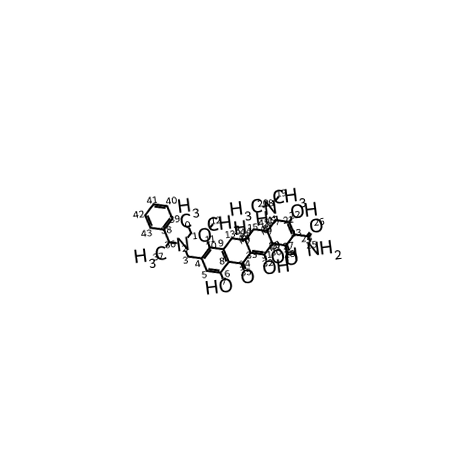 CCN(Cc1cc(O)c2c(c1OC)C[C@H]1C[C@H]3[C@H](N(C)C)C(O)=C(C(N)=O)C(=O)[C@@]3(O)C(O)=C1C2=O)C(C)c1ccccc1